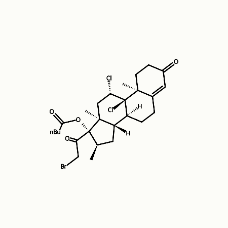 CCCCC(=O)O[C@@]1(C(=O)CBr)[C@H](C)C[C@H]2[C@@H]3CCC4=CC(=O)CC[C@]4(C)[C@@]3(Cl)[C@@H](Cl)C[C@@]21C